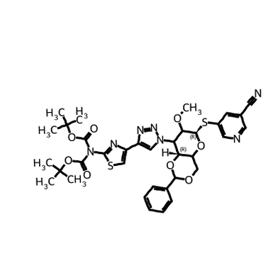 COC1C(n2cc(-c3csc(N(C(=O)OC(C)(C)C)C(=O)OC(C)(C)C)n3)nn2)[C@H]2OC(c3ccccc3)OCC2O[C@@H]1Sc1cncc(C#N)c1